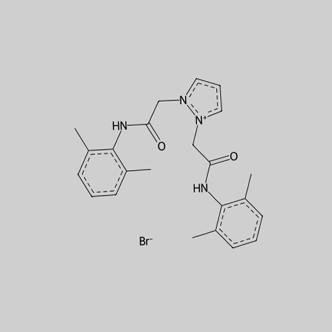 Cc1cccc(C)c1NC(=O)Cn1ccc[n+]1CC(=O)Nc1c(C)cccc1C.[Br-]